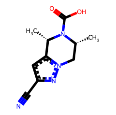 C[C@@H]1Cn2nc(C#N)cc2[C@H](C)N1C(=O)O